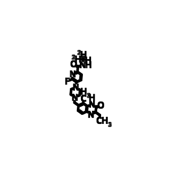 [2H]C([2H])([2H])NC(=O)c1ccc(N2CCN(Cc3ccc4nc(CC)c(=O)[nH]c4c3C)CC2)c(F)n1